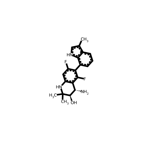 Cc1c[nH]c2c(-c3c(F)cc4c(c3F)[C@H](N)[C@@H](O)C(C)(C)N4)cccc12